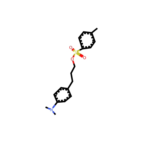 Cc1ccc(S(=O)(=O)OCCCc2ccc(N(C)C)cc2)cc1